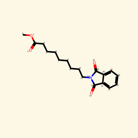 COC(=O)CCCCCCCCN1C(=O)c2ccccc2C1=O